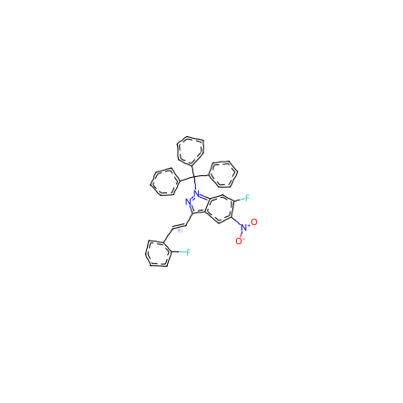 O=[N+]([O-])c1cc2c(/C=C/c3ccccc3F)nn(C(c3ccccc3)(c3ccccc3)c3ccccc3)c2cc1F